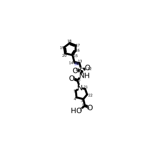 O=C(O)C1CCN(C(=O)NS(=O)(=O)/C=C/c2ccccc2)CC1